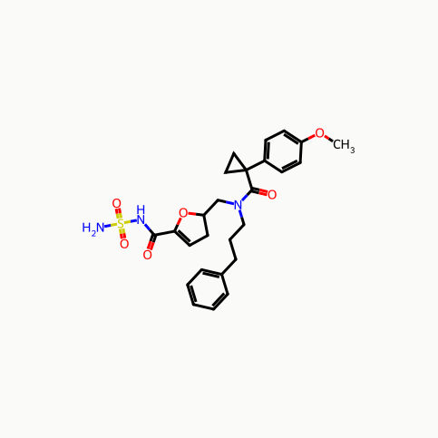 COc1ccc(C2(C(=O)N(CCCc3ccccc3)CC3CC=C(C(=O)NS(N)(=O)=O)O3)CC2)cc1